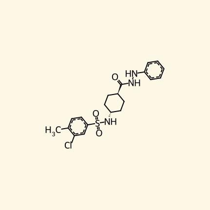 Cc1ccc(S(=O)(=O)N[C@H]2CC[C@H](C(=O)NNc3ccccc3)CC2)cc1Cl